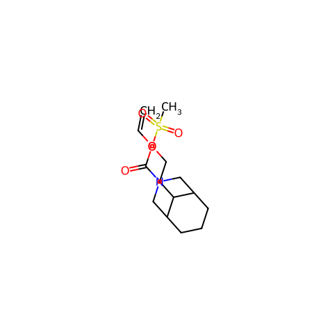 C=COC(=O)N1CC2CCCC(C1)C2CCOS(C)(=O)=O